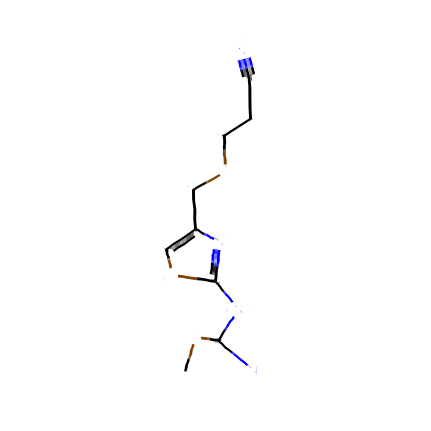 CSC(N)Nc1nc(CSCCC#N)cs1